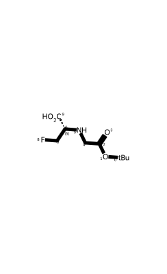 CC(C)(C)OC(=O)CN[C@H](CF)C(=O)O